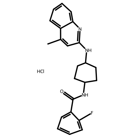 Cc1cc(NC2CCC(NC(=O)c3ccccc3F)CC2)nc2ccccc12.Cl